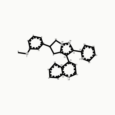 COc1cccc(C2Cc3c(-c4ccnc5ccccc45)c(-c4ccccn4)nn3C2)c1